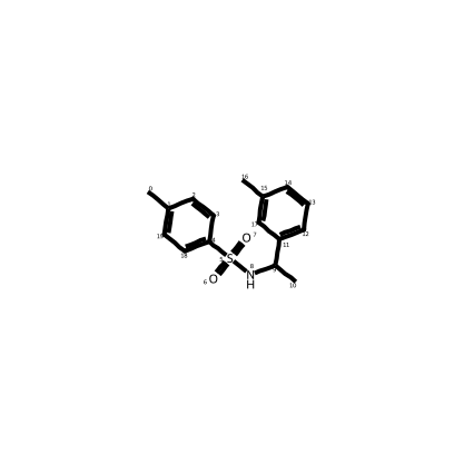 Cc1ccc(S(=O)(=O)NC(C)c2cccc(C)c2)cc1